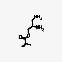 C=C(C)C(=O)OCC(N)CN